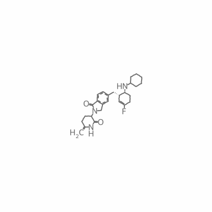 C=C1CCC(N2Cc3cc(C[C@H]4C=C(F)CC[C@@H]4NC4CCCCC4)ccc3C2=O)C(=O)N1